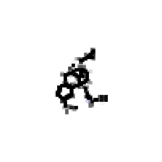 COc1ccc2c(c1)[C@]1(C/C=N\O)CCN(CC3CC3)[C@H](C2)[C@@H]1C